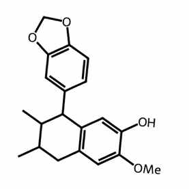 COc1cc2c(cc1O)C(c1ccc3c(c1)OCO3)C(C)C(C)C2